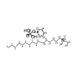 CCCCCCCCCCCCCCCC[N+](C)(C)CC.O=S(=O)(O)O.c1ccccc1